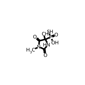 CN1C(=O)NC(C)(P(=O)(O)S)C1=O